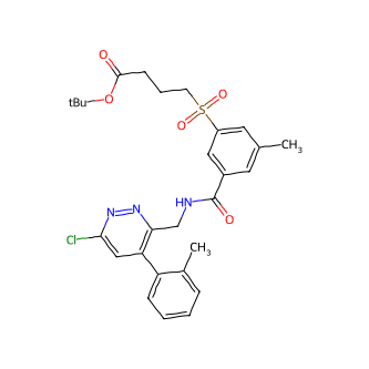 Cc1cc(C(=O)NCc2nnc(Cl)cc2-c2ccccc2C)cc(S(=O)(=O)CCCC(=O)OC(C)(C)C)c1